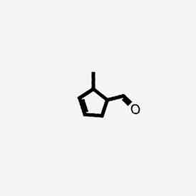 CC1C=CCC1C=O